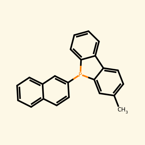 Cc1ccc2c3ccccc3p(-c3ccc4ccccc4c3)c2c1